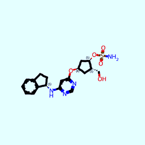 NS(=O)(=O)O[C@H]1C[C@H](Oc2cc(N[C@H]3CCc4ccccc43)ncn2)C[C@H]1CO